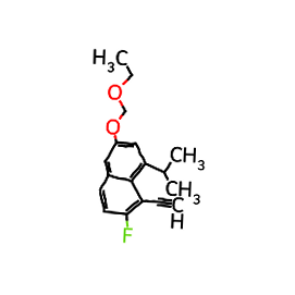 C#Cc1c(F)ccc2cc(OCOCC)cc(C(C)C)c12